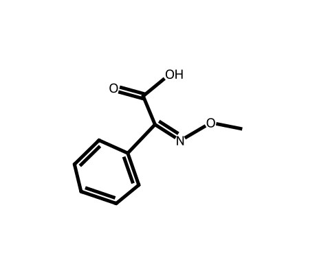 CO/N=C(\C(=O)O)c1ccccc1